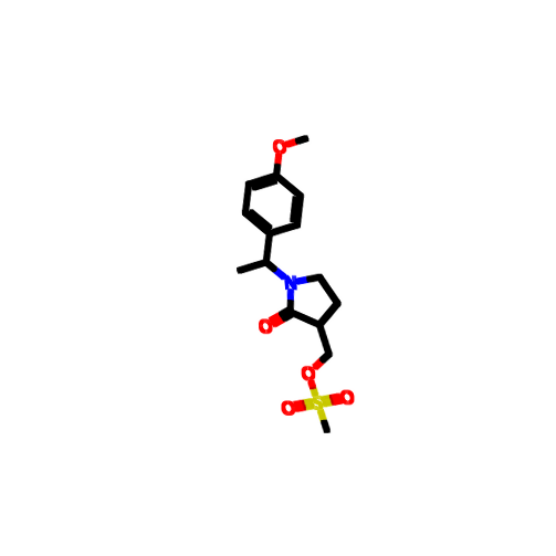 COc1ccc(C(C)N2CCC(COS(C)(=O)=O)C2=O)cc1